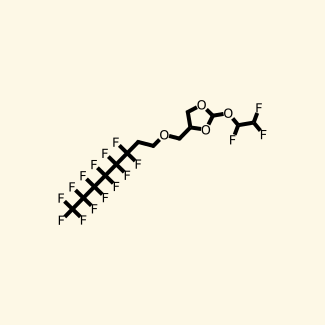 FC(F)C(F)OC1OCC(COCCC(F)(F)C(F)(F)C(F)(F)C(F)(F)C(F)(F)C(F)(F)F)O1